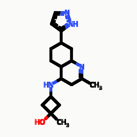 CC1=NC2CC(c3ccn[nH]3)CCC2C(NC2CC(C)(O)C2)C1